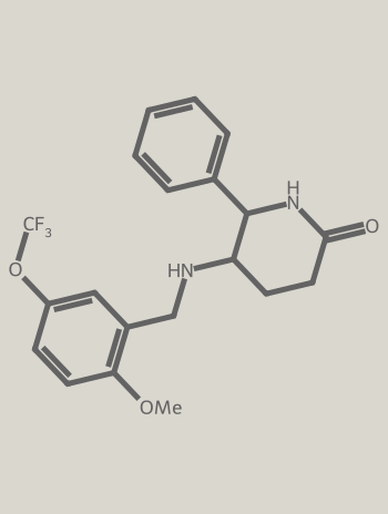 COc1ccc(OC(F)(F)F)cc1CNC1CCC(=O)NC1c1ccccc1